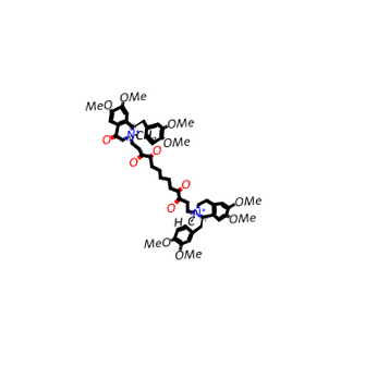 COc1ccc(C[C@@H]2c3cc(OC)c(OC)cc3CC[N@+]2(C)CCC(=O)C(=O)CCCCCC(=O)C(=O)CC[N@@+]2(C)CC(=O)c3cc(OC)c(OC)cc3[C@H]2Cc2ccc(OC)c(OC)c2)cc1OC